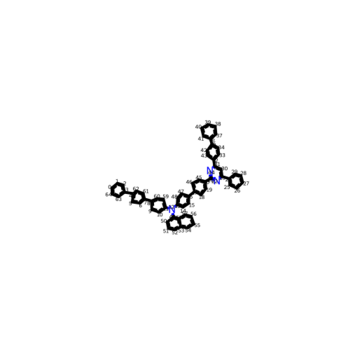 c1ccc(-c2ccc(-c3ccc(N(c4ccc(-c5ccc(-c6nc(-c7ccccc7)cc(-c7ccc(-c8ccccc8)cc7)n6)cc5)cc4)c4cccc5ccccc45)cc3)cc2)cc1